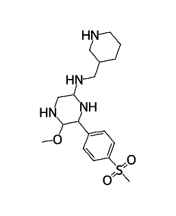 COC1NCC(NCC2CCCNC2)NC1c1ccc(S(C)(=O)=O)cc1